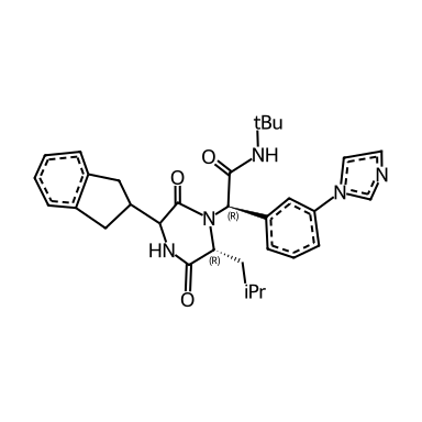 CC(C)C[C@@H]1C(=O)NC(C2Cc3ccccc3C2)C(=O)N1[C@@H](C(=O)NC(C)(C)C)c1cccc(-n2ccnc2)c1